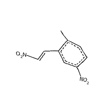 Cc1ccc([N+](=O)[O-])cc1/C=C/[N+](=O)[O-]